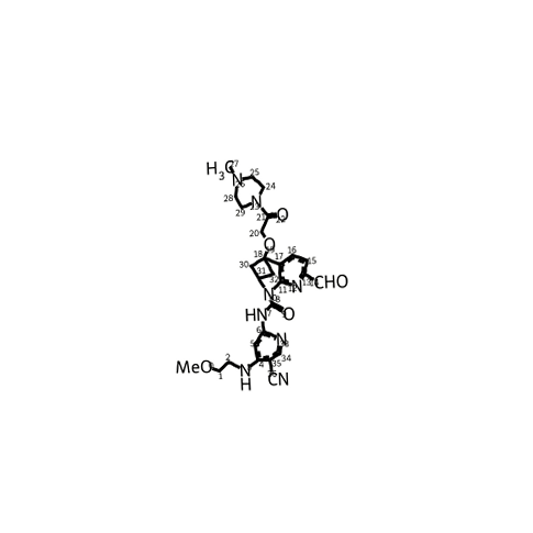 COCCNc1cc(NC(=O)N2c3nc(C=O)ccc3C3(OCC(=O)N4CCN(C)CC4)CC2C3)ncc1C#N